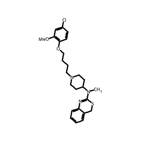 COc1cc(Cl)ccc1OCCCCN1CCC(N(C)C2=Nc3ccccc3CS2)CC1